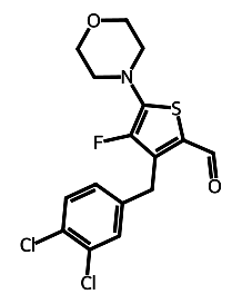 O=Cc1sc(N2CCOCC2)c(F)c1Cc1ccc(Cl)c(Cl)c1